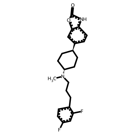 CN(CCCc1ccc(F)cc1F)[C@H]1CC[C@H](c2ccc3[nH]c(=O)oc3c2)CC1